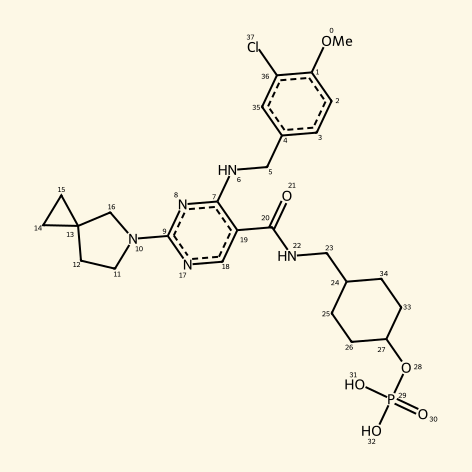 COc1ccc(CNc2nc(N3CCC4(CC4)C3)ncc2C(=O)NCC2CCC(OP(=O)(O)O)CC2)cc1Cl